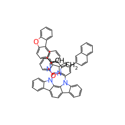 C=C(/N=C(\N=C(/C)c1ccc2oc3ccccc3c2c1)n1c2ccccc2c2ccc3c4ccccc4n(C4=C5Oc6ccccc6C5CC(c5ccc6ccccc6c5)=C4)c3c21)c1ccccc1